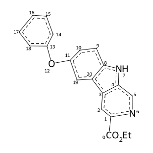 CCOC(=O)c1cc2c(cn1)[nH]c1ccc(Oc3ccccc3)cc12